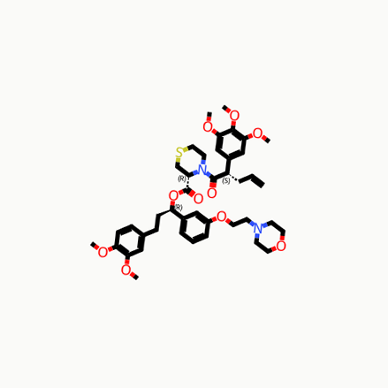 C=CC[C@H](C(=O)N1CCSC[C@H]1C(=O)O[C@H](CCc1ccc(OC)c(OC)c1)c1cccc(OCCN2CCOCC2)c1)c1cc(OC)c(OC)c(OC)c1